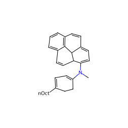 CCCCCCCCC1=CC=C(N(C)C2=CC=C3C=Cc4cccc5c4C3C2C=C5)CC1